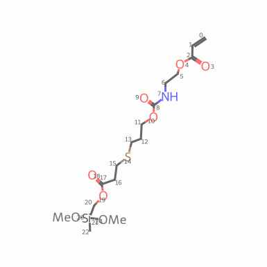 C=CC(=O)OCCNC(=O)OCCCSCCC(=O)OC[Si](C)(OC)OC